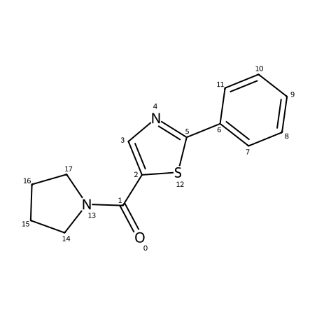 O=C(c1cnc(-c2ccccc2)s1)N1CCCC1